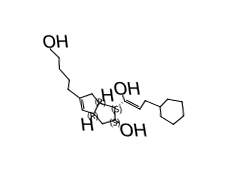 OCCCCCC1=C[C@@H]2C[C@H](O)[C@@H](C(O)=CCC3CCCCC3)[C@@H]2C1